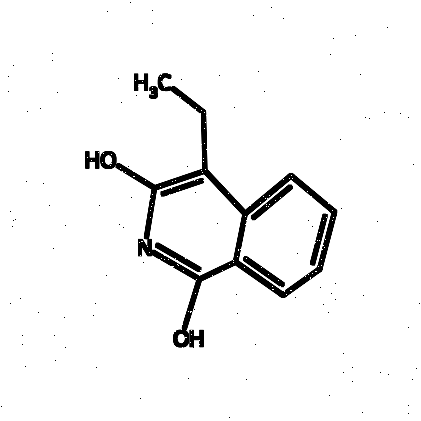 CCc1c(O)nc(O)c2ccccc12